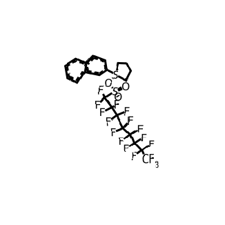 O=S(=O)(OS1(c2ccc3ccccc3c2)CCCC1)C(F)(F)C(F)(F)C(F)(F)C(F)(F)C(F)(F)C(F)(F)C(F)(F)C(F)(F)F